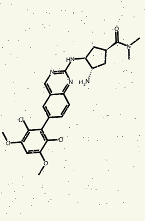 COc1cc(OC)c(Cl)c(-c2ccc3nc(NC4C[C@@H](C(=O)N(C)C)C[C@@H]4N)ncc3c2)c1Cl